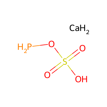 O=S(=O)(O)OP.[CaH2]